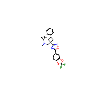 CN(CC1(c2noc(-c3ccc4c(c3)OC(F)(F)O4)n2)CCC1)C1C[C@@H]1c1ccccc1